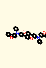 c1ccc(N(c2ccc3c(c2)Oc2ccc4c5c(ccc-3c25)Oc2cc(N(c3ccccc3)c3ccc5oc6ccccc6c5c3)ccc2-4)c2ccc3oc4ccccc4c3c2)cc1